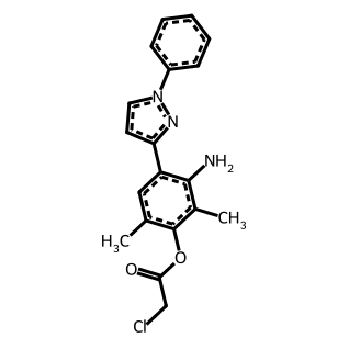 Cc1cc(-c2ccn(-c3ccccc3)n2)c(N)c(C)c1OC(=O)CCl